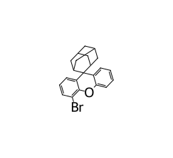 Brc1cccc2c1Oc1ccccc1C21C2CC3CC(C2)CC1C3